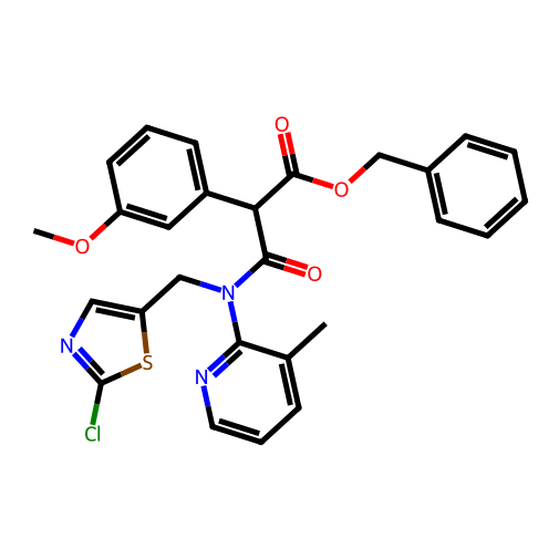 COc1cccc(C(C(=O)OCc2ccccc2)C(=O)N(Cc2cnc(Cl)s2)c2ncccc2C)c1